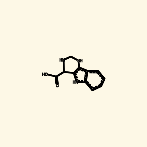 O=C(O)C1NCNc2c1[nH]c1ccccc21